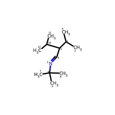 CC(C)C(/C=N/C(C)(C)C)C(C)C